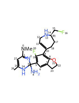 CNC1=NC(N)(c2cc3c(c(C4=CCN[C@@H](CF)CC4)c2F)OCC3)NC(C)=C1